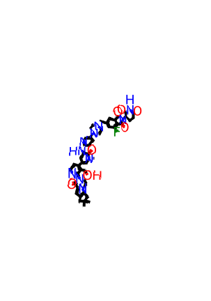 Cn1cc(-c2ccnc(N3CCn4c(cc5c4CC(C)(C)C5)C3=O)c2CO)cc(Nc2ccc(N3CCN(Cc4cc(F)c5c(c4)C(=O)N(C4CCC(=O)NC4=O)C5=O)CC3)cn2)c1=O